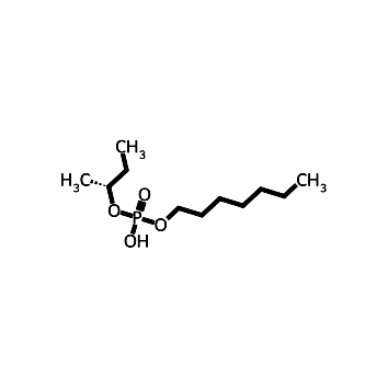 CCCCCCCOP(=O)(O)O[C@H](C)CC